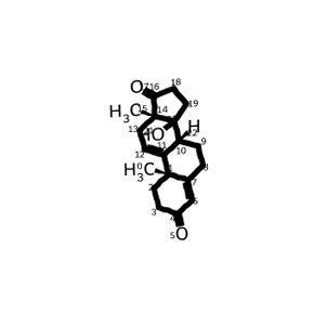 C[C@]12CCC(=O)C=C1CC[C@@H]1C2=CC[C@]2(C)C(=O)CCC12O